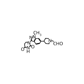 Cn1nc(N2CCC(=O)NC2=O)c2ccc(C3CCN(CC=O)CC3)cc21